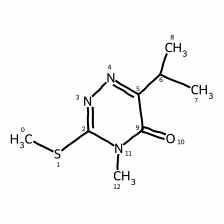 CSc1nnc(C(C)C)c(=O)n1C